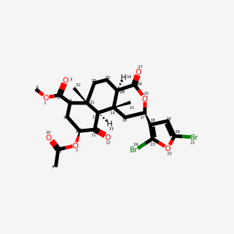 COC(=O)C1C[C@H](OC(C)=O)C(=O)[C@@H]2[C@@]3(C)C[C@H](c4cc(Br)oc4Br)OC(=O)[C@@H]3CC[C@@]12C